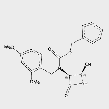 COc1ccc(CN(C(=O)OCc2ccccc2)[C@@H]2C(=O)N[C@@H]2C#N)c(OC)c1